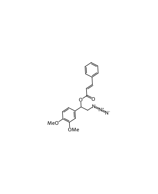 COc1ccc(C(CN=[N+]=[N-])OC(=O)C=Cc2ccccc2)cc1OC